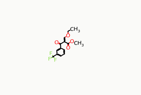 CCOC=C(C(=O)OC)C(=O)c1cccc(C(F)(F)F)c1